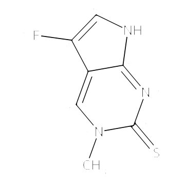 Cn1cc2c(F)c[nH]c2nc1=S